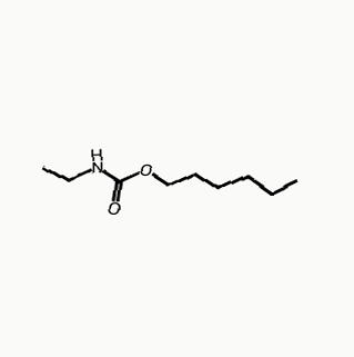 CCCCCCOC(=O)NCC